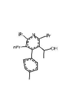 CCCc1c(C(C)C)nc(C(C)C)c(C(C)O)c1-c1ccc(C)cc1